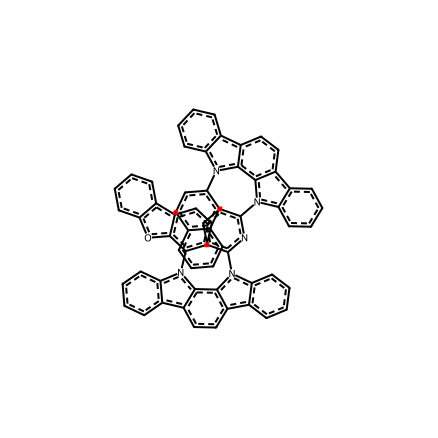 c1cc(-n2c3ccccc3c3ccc4c5ccccc5n(-c5ccc6ccccc6c5)c4c32)nc(-n2c3ccccc3c3ccc4c5ccccc5n(-c5cccc6c5oc5ccccc56)c4c32)c1